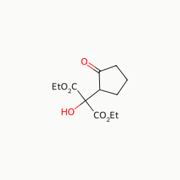 CCOC(=O)C(O)(C(=O)OCC)C1CCCC1=O